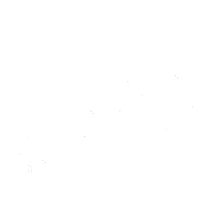 Fc1cc(N2CCC(OCc3c(-c4c(Cl)cccc4Cl)noc3C3CC3)CC2)ccc1C1=NNCO1